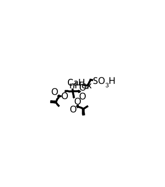 C=C(C)C(=O)OCC(CCCCCC)(COC(=O)C(=C)C)C(=O)OCCS(=O)(=O)O.[CaH2]